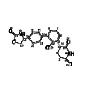 O=C1CC[C@H](c2cccc(-c3ccc(C4COC(=O)N4)cc3)c2Cl)C(=O)N1